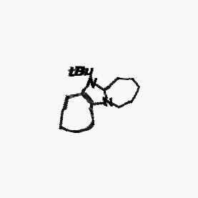 CC(C)(C)N1C2=C(CCCCC2)N2CCCCCC21